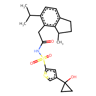 CC(C)c1ccc2c(c1CC(=O)NS(=O)(=O)c1cc(C3(O)CC3)cs1)C(C)CC2